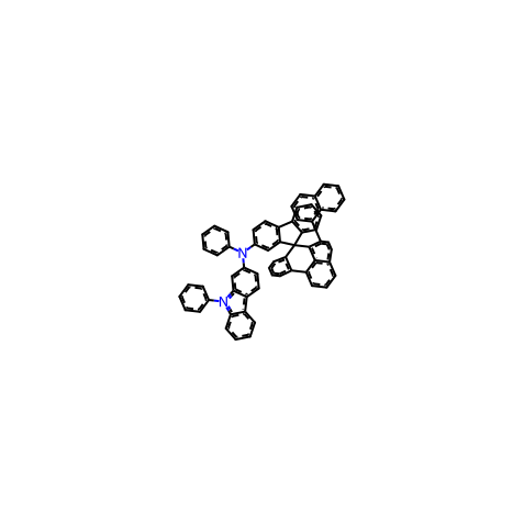 c1ccc(N(c2ccc3c(c2)C2(c4ccccc4-3)c3ccccc3-c3cccc4ccc(-c5cccc6ccccc56)c2c34)c2ccc3c4ccccc4n(-c4ccccc4)c3c2)cc1